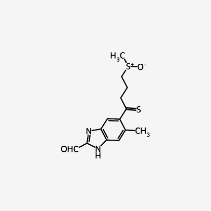 Cc1cc2[nH]c(C=O)nc2cc1C(=S)CCC[S+](C)[O-]